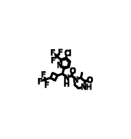 CC1C(=O)NCCN1C(=O)NC(c1ccc(Cl)c(C(F)(F)F)n1)C1CC(C(F)(F)F)C1